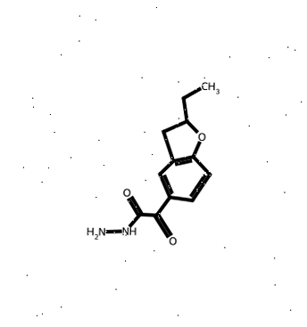 CCC1Cc2cc(C(=O)C(=O)NN)ccc2O1